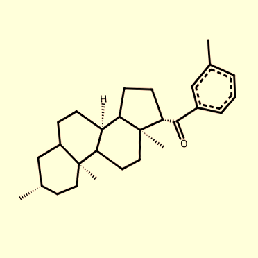 Cc1cccc(C(=O)[C@H]2CCC3[C@@H]4CCC5C[C@@H](C)CC[C@]5(C)C4CC[C@@]32C)c1